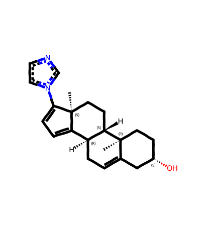 C[C@]12CC[C@H]3[C@@H](CC=C4C[C@@H](O)CC[C@@]43C)C1=CC=C2n1ccnc1